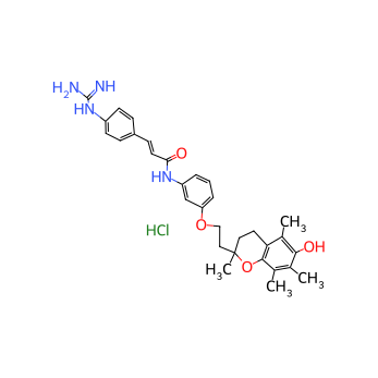 Cc1c(C)c2c(c(C)c1O)CCC(C)(CCOc1cccc(NC(=O)/C=C/c3ccc(NC(=N)N)cc3)c1)O2.Cl